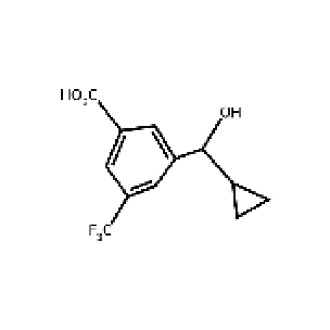 O=C(O)c1cc(C(O)C2CC2)cc(C(F)(F)F)c1